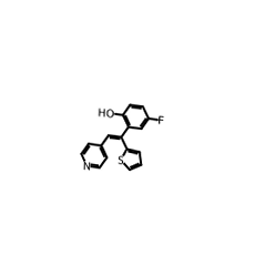 Oc1ccc(F)cc1C(=Cc1ccncc1)c1cccs1